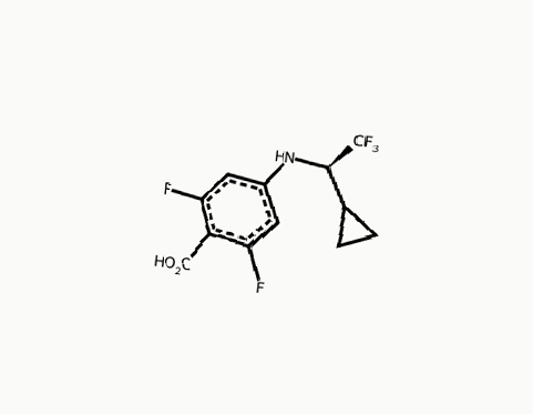 O=C(O)c1c(F)cc(N[C@H](C2CC2)C(F)(F)F)cc1F